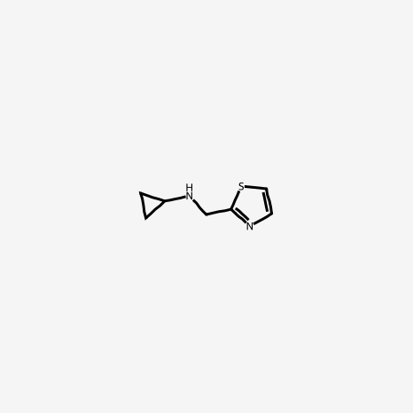 c1csc(CNC2CC2)n1